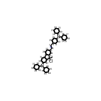 CC1(Cl)c2cc(/C=C/c3ccc(N(c4ccccc4)c4ccccc4)cc3)ccc2-c2ccc(N(c3ccccc3)c3ccccc3)cc21